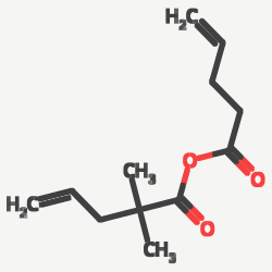 C=CCCC(=O)OC(=O)C(C)(C)CC=C